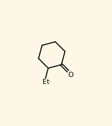 C[CH]C1CCCCC1=O